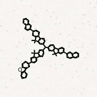 CC1(C)c2cc(-c3ccc4ccccc4c3)ccc2-c2ccc(C(c3ccc4c(c3)C(C)(C)c3cc(-c5ccc6ccccc6c5)ccc3-4)c3ccc4c(c3)C(C)(C)c3cc(-c5ccc6oc7ccccc7c6c5)ccc3-4)cc21